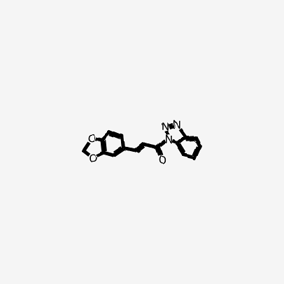 O=C(/C=C/c1ccc2c(c1)OCO2)n1nnc2ccccc21